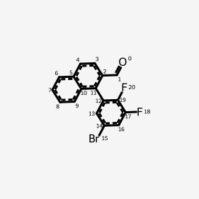 O=Cc1ccc2ccccc2c1-c1cc(Br)cc(F)c1F